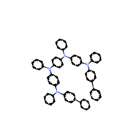 c1ccc(-c2ccc(N(c3ccccc3)c3ccc(N(c4ccccc4)c4ccc(N(c5ccccc5)c5ccc(N(c6ccccc6)c6ccc(-c7ccccc7)cc6)cc5)cc4)cc3)cc2)cc1